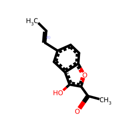 C/C=C/c1ccc2oc(C(C)=O)c(O)c2c1